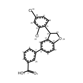 O=C(O)c1cccc(-c2ccc3c(c2)C(c2ccc(Cl)cc2Cl)CO3)c1